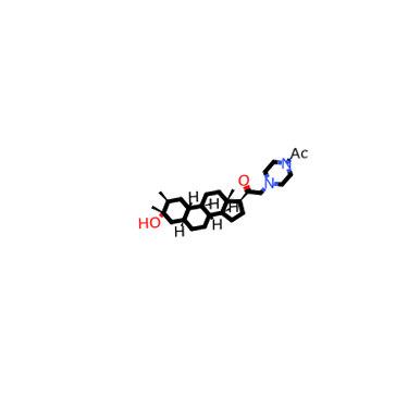 CC(=O)N1CCN(CC(=O)[C@H]2CC[C@H]3[C@@H]4CC[C@H]5C[C@](C)(O)[C@@H](C)C[C@@H]5[C@H]4CC[C@]23C)CC1